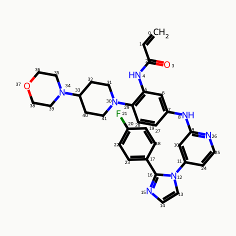 C=CC(=O)Nc1cc(Nc2cc(-n3ccnc3-c3ccc(F)cc3)ccn2)ccc1N1CCC(N2CCOCC2)CC1